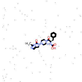 Cc1ncc2n1C(=O)N(N1CCN(C(=O)[C@@H](Cc3ccccc3)NC(=O)O)CC1)C2